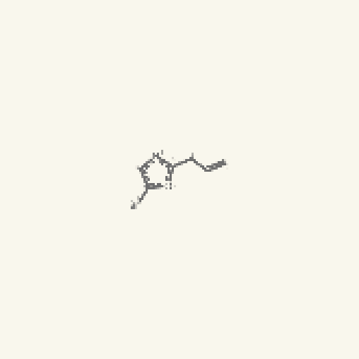 C=CCc1ncc(Br)o1